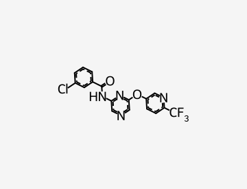 O=C(Nc1cncc(Oc2ccc(C(F)(F)F)nc2)n1)c1cccc(Cl)c1